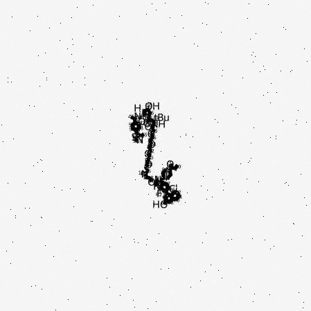 C=CC(=O)N1CCN(c2nc(OCCN(C)CCOCCOCCOCCOCC(=O)NC(C(=O)N3C[C@H](O)C[C@H]3C(=O)NC(C)c3ccc(-c4scnc4C)cc3)C(C)(C)C)nc3c(F)c(-c4cc(O)cc5ccccc45)c(Cl)cc23)CC1